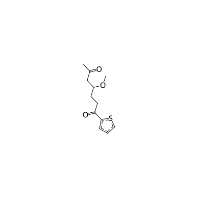 COC(CCC(=O)c1cccs1)CC(C)=O